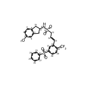 [O]c1ccc2c(c1)CC(NS(=O)(=O)CC=Cc1cc(S(=O)(=O)c3ccccc3)ccc1C(F)(F)F)C2